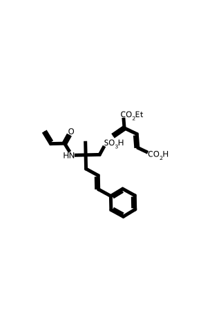 C=C(C=CC(=O)O)C(=O)OCC.C=CC(=O)NC(C)(CC=Cc1ccccc1)CS(=O)(=O)O